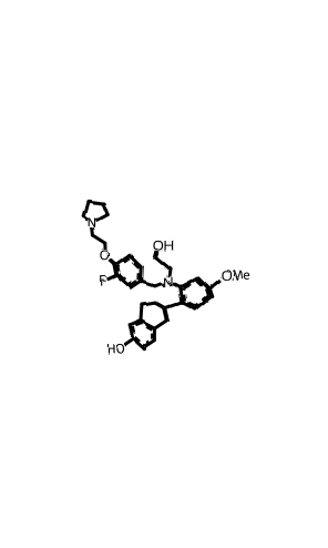 COc1ccc(C2CCc3cc(O)ccc3C2)c(N(CCO)Cc2ccc(OCCN3CCCC3)c(F)c2)c1